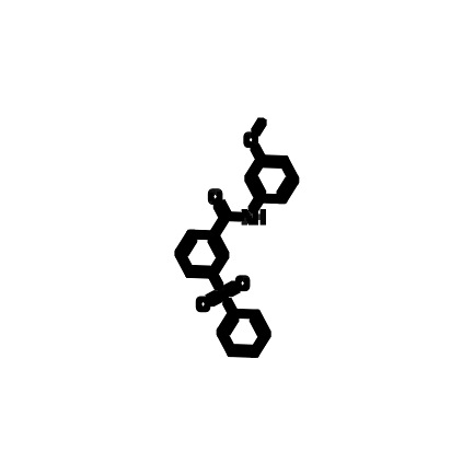 COc1cccc(NC(=O)c2cccc(S(=O)(=O)c3ccccc3)c2)c1